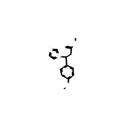 COC(=O)CC(c1ccc(OC)cc1)n1ccnc1